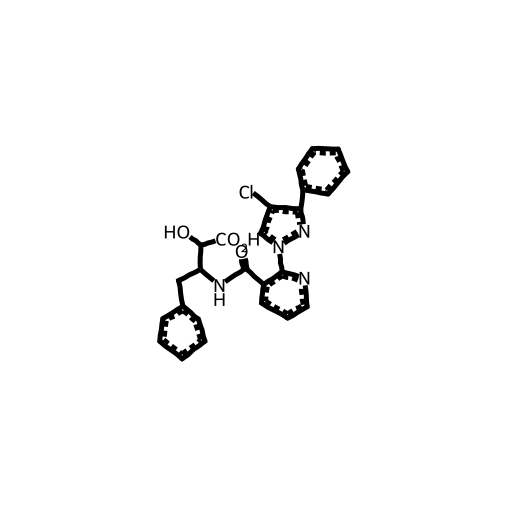 O=C(NC(Cc1ccccc1)C(O)C(=O)O)c1cccnc1-n1cc(Cl)c(-c2ccccc2)n1